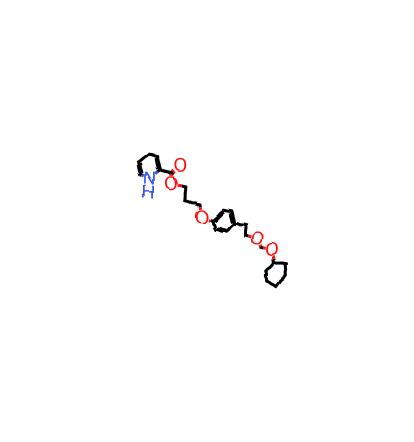 O=C(OCCCOc1ccc(CCOCOC2CCCCC2)cc1)C1=CCC=CN1